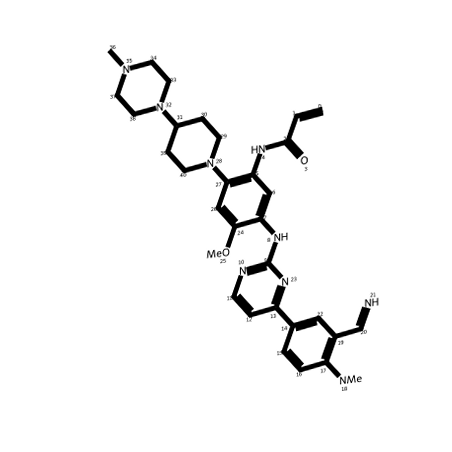 C=CC(=O)Nc1cc(Nc2nccc(-c3ccc(NC)c(C=N)c3)n2)c(OC)cc1N1CCC(N2CCN(C)CC2)CC1